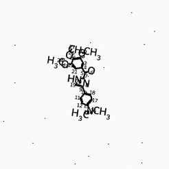 COc1cc(C(=O)c2nc(-c3ccc(N(C)C)cc3)c[nH]2)cc(OC)c1OC